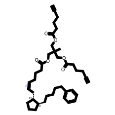 C#CCCCC(=O)OCC(C)(COC(=O)CCCC#C)COC(=O)CCC/C=C\C[C@H]1CCC[C@@H]1CCCCCc1ccccc1